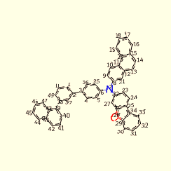 c1cc(-c2ccc(N(c3ccc4c(ccc5ccccc54)c3)c3ccc4c(c3)oc3ccccc34)cc2)cc(-c2cccc3ccccc23)c1